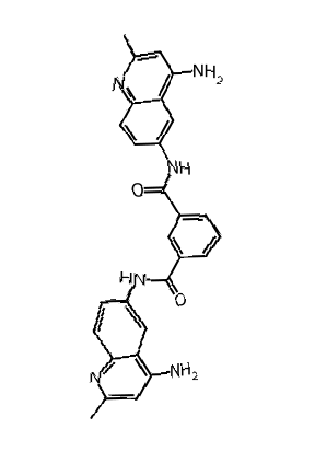 Cc1cc(N)c2cc(NC(=O)c3cccc(C(=O)Nc4ccc5nc(C)cc(N)c5c4)c3)ccc2n1